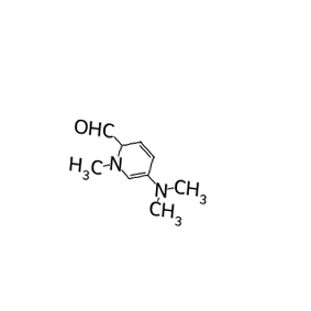 CN(C)C1=CN(C)C(C=O)C=C1